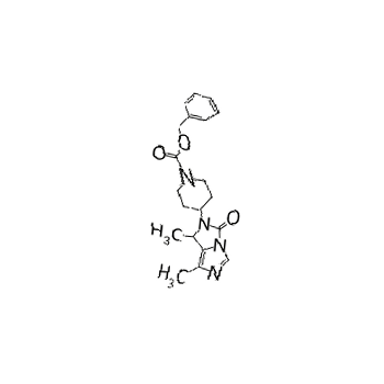 Cc1ncn2c1C(C)N(C1CCN(C(=O)OCc3ccccc3)CC1)C2=O